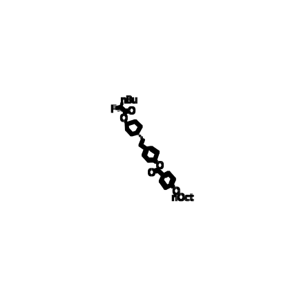 CCCCCCCCOc1ccc(C(=O)Oc2ccc(CC[C@H]3CC[C@H](OC(=O)[C@@H](F)CCCC)CC3)cc2)cc1